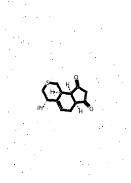 CC(C)[C@@H]1CSC[C@@H]2C1=CC[C@@H]1C(=O)CC(=O)[C@@H]12